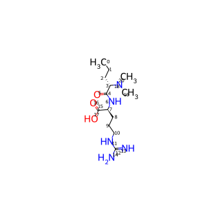 CCC[C@@H](C(=O)N[C@@H](CCCNC(=N)N)C(=O)O)N(C)C